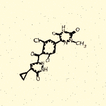 Cn1nc(-c2cc(Cl)c(C(=O)c3cc(C4CC4)c(=O)[nH]n3)c(Cl)c2)c(=O)[nH]c1=O